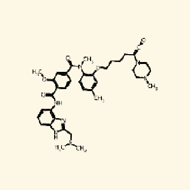 COc1cc(C(=O)N(C)c2ccc(C)cc2OCCCCC(=C=O)N2CCN(C)CC2)ccc1C(=O)Nc1cccc2[nH]c(CN(C)C)nc12